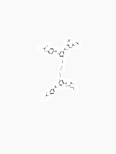 CC(C)(C)OC(=O)CC(NC(=O)c1cc(OCCOCCOCCOc2cc(OC(=O)c3ccc(NC(=N)N)cc3)cc(C(=O)NC(CC(=O)O)C(=O)O)c2)cc(OC(=O)c2ccc(NC(=N)N)cc2)c1)C(=O)OC(C)(C)C